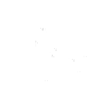 COc1ccc(CCn2c(-c3ccc(N(CCO)CCO)cc3)nc3cc(C(CC(N)=O)NCC4CCCCC4)ccc32)cc1